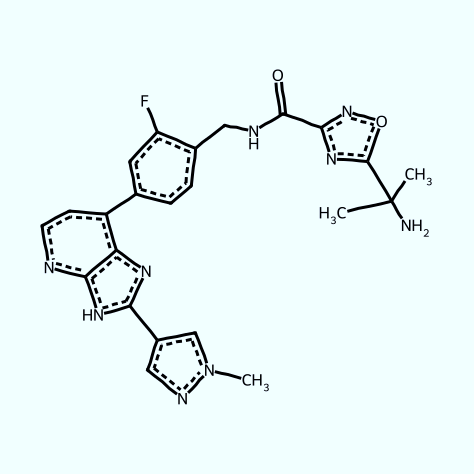 Cn1cc(-c2nc3c(-c4ccc(CNC(=O)c5noc(C(C)(C)N)n5)c(F)c4)ccnc3[nH]2)cn1